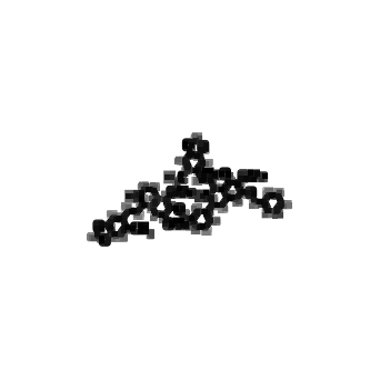 COc1cc2c(c(OC)c1OCc1cccc(C3Cc4cc(OCc5ccccc5)c(OC)c(OC)c4C(/C=C/c4cc5c(cc4C)OCO5)N3)c1)CCNC2/C=C/c1cc2c(cc1C)OCO2